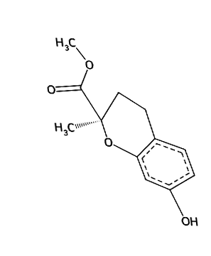 COC(=O)[C@@]1(C)CCc2ccc(O)cc2O1